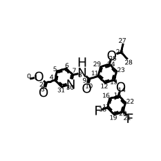 COC(=O)c1ccc(NC(=O)c2cc(Oc3cc(F)cc(F)c3)cc(OC(C)C)c2)nc1